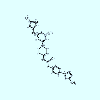 Cc1cnn(-c2ccc(CC(=O)NC3CCN(c4nc(C)cc(Nc5cc(C)[nH]n5)n4)CC3)cn2)c1